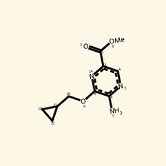 COC(=O)c1cnc(N)c(OCC2CC2)n1